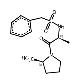 C[C@H](NS(=O)(=O)Cc1ccccc1)C(=O)N1CCC[C@H]1C(=O)O